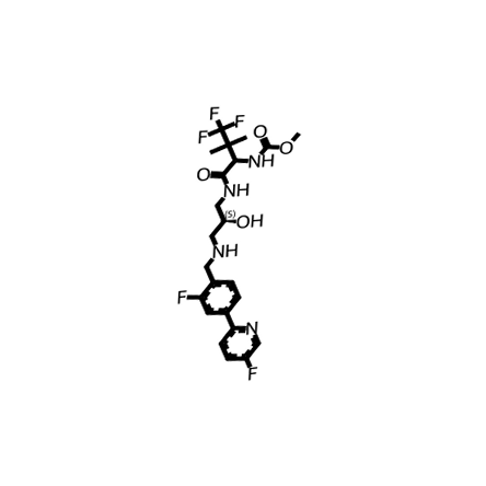 COC(=O)NC(C(=O)NC[C@@H](O)CNCc1ccc(-c2ccc(F)cn2)cc1F)C(C)(C)C(F)(F)F